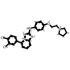 Clc1ccc(-c2cccc3nc(Nc4ccc(OCCN5CCCC5)cc4)nn23)cc1Cl